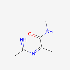 CNC(=O)/C(C)=N\C(C)=N